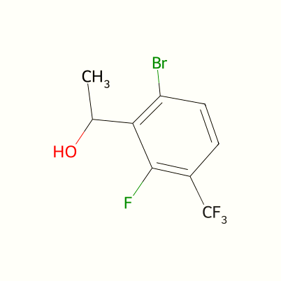 CC(O)c1c(Br)ccc(C(F)(F)F)c1F